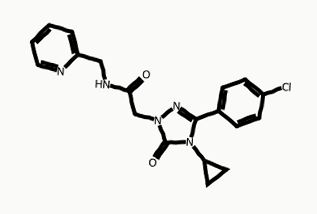 O=C(Cn1nc(-c2ccc(Cl)cc2)n(C2CC2)c1=O)NCc1ccccn1